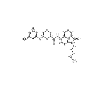 C=C(Br)/C=C(\SC)SN1CCCC(C(=O)Nc2ccc3c4c(cccc24)C(=O)N3CCCOC)C1